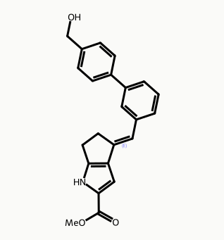 COC(=O)c1cc2c([nH]1)CC/C2=C\c1cccc(-c2ccc(CO)cc2)c1